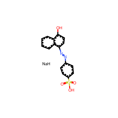 O=S(=O)(O)c1ccc(N=Nc2ccc(O)c3ccccc23)cc1.[NaH]